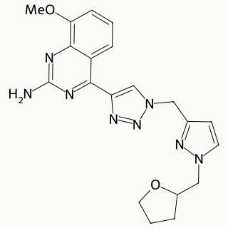 COc1cccc2c(-c3cn(Cc4ccn(CC5CCCO5)n4)nn3)nc(N)nc12